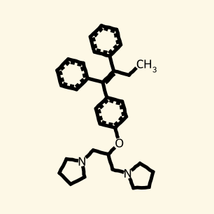 CCC(=C(c1ccccc1)c1ccc(OC(CN2CCCC2)CN2CCCC2)cc1)c1ccccc1